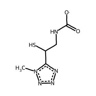 Cn1nnnc1C(S)CNC([O])=O